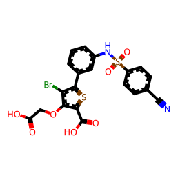 N#Cc1ccc(S(=O)(=O)Nc2cccc(-c3sc(C(=O)O)c(OCC(=O)O)c3Br)c2)cc1